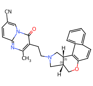 Cc1nc2ccc(C#N)cn2c(=O)c1CCN1C[C@H]2COc3ccc4ccccc4c3[C@H]2C1